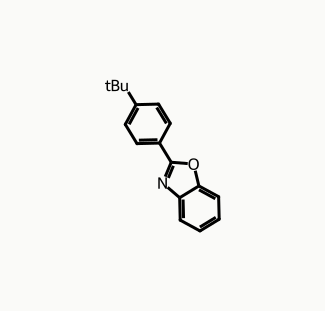 CC(C)(C)c1ccc(-c2nc3ccccc3o2)cc1